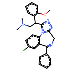 COc1ccccc1C(CN(C)C)c1nnc2n1-c1ccc(Cl)cc1C(c1ccccc1)=NC2